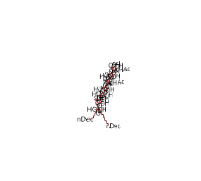 CCCCCCCCCCCCC/C=C/[C@@H](O)[C@H](CO[C@@H]1OC(CO)[C@@H](O[C@@H]2OC(CO)[C@H](O[C@@H]3OC(CO)[C@H](O)[C@H](O[C@@H]4OC(CO)[C@H](O)[C@H](O[C@@H]5OC(CO)[C@H](O)[C@H](O[C@H]6OC(CO)[C@H](O)[C@H](O)C6NC(C)=O)C5O)C4NC(C)=O)C3O)[C@H](O)C2O)[C@H](O)C1O)NC(=O)CCCCCCCCCCCCCCCCCCC